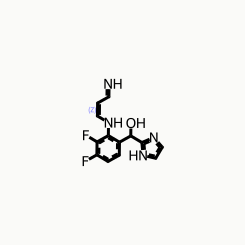 N=C/C=C\Nc1c(C(O)c2ncc[nH]2)ccc(F)c1F